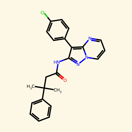 CC(C)(CC(=O)Nc1nn2cccnc2c1-c1ccc(Cl)cc1)c1ccccc1